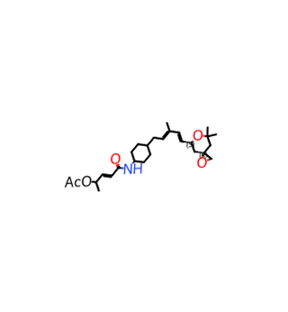 CC(=O)OC(C)C=CC(=O)NC1CCC(CC=C(C)C=C[C@@H]2C[C@]3(CO3)CC(C)(C)O2)CC1